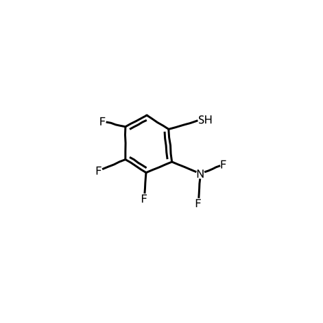 Fc1cc(S)c(N(F)F)c(F)c1F